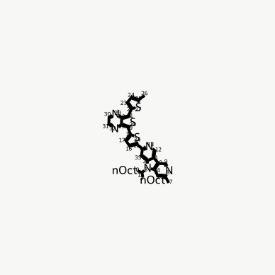 CCCCCCCCC(CCCCCCCC)n1c2cc(C)ncc2c2cnc(-c3ccc(-c4sc(-c5ccc(C)s5)c5nccnc45)s3)cc21